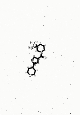 CC1(C)CCCN(C(=O)C2C=C(C3CCOCC3)SC2)C1